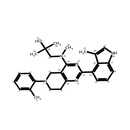 Cc1ccccc1N1CCc2nc(-c3cccc4[nH]cc(C)c34)nc(N(C)CC(C)(C)O)c2C1